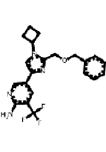 Nc1ncc(-c2cn(C3CCC3)c(COCc3ccccc3)n2)cc1C(F)(F)F